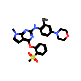 COc1cc(N2CCOCC2)ccc1Nc1nc(Oc2ccccc2S(C)(=O)=O)c2ccn(C)c2n1